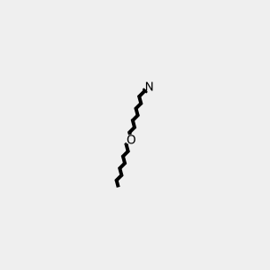 CCCCCCCCOCCCCCCCC#N